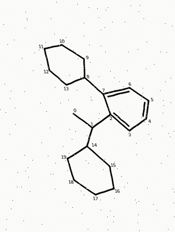 CC(c1ccccc1C1CCCCC1)C1CCCCC1